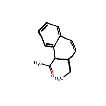 CCC1C=Cc2ccccc2C1C(C)=O